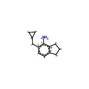 Nc1c(CC2CC2)ccc2c1CCC2